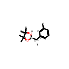 Cc1cccc([C@H](C)B2OC(C)(C)C(C)(C)O2)c1